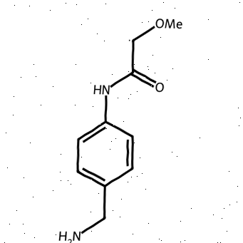 CO[CH]C(=O)Nc1ccc(CN)cc1